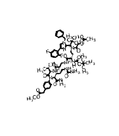 COC(=O)Cc1ccc(N(C(=O)[C@@H](NC(=O)CCNC(=O)[C@H](CCN(C(=O)COC(C)=O)[C@@H](c2nc(-c3cc(F)ccc3F)cn2Cc2ccccc2)C(C)(C)C)NC(=O)OC(C)(C)C)C(C)C)[C@@H](CCCNC(N)=O)C(N)=O)cc1